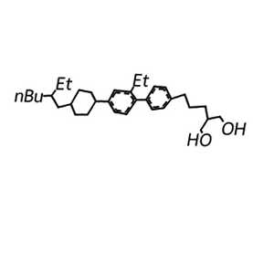 CCCCC(CC)CC1CCC(c2ccc(-c3ccc(CCCC(CO)CO)cc3)c(CC)c2)CC1